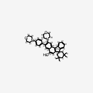 CC1(C)CC(C)(C)CC2(C1)c1ccccc1-c1c2cc(O)c2cc(-c3ccc(N4CCOCC4)cc3)c(N3CCOCC3)cc12